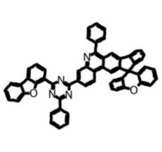 c1ccc(-c2nc(-c3ccc4c(c3)nc(-c3ccccc3)c3cc5c(cc34)C3(c4ccccc4Oc4ccccc43)c3ccccc3-5)nc(-c3cccc4c3oc3ccccc34)n2)cc1